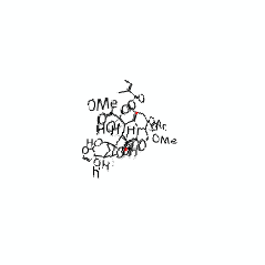 C/C=C(\C)C(=O)O[C@@H]1C[C@@H](OC(C)=O)[C@@]2(C(=O)OC)CO[C@H]3[C@@H](O)[C@@](C)([C@]45O[C@@]4(C)[C@@H]4CC5O[C@@H]5OC=C[C@@]54O)[C@@H]4C1(CO[C@]4(O)C(=O)OC)[C@H]32